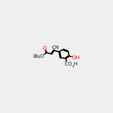 CC(C)COC(=O)C=C(C#N)c1ccc(O)c(C(=O)O)c1